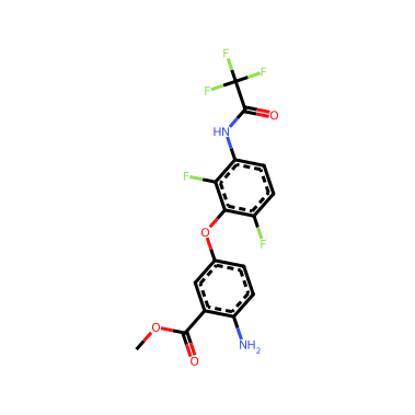 COC(=O)c1cc(Oc2c(F)ccc(NC(=O)C(F)(F)F)c2F)ccc1N